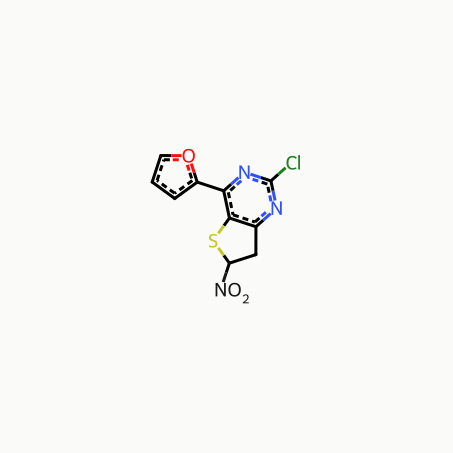 O=[N+]([O-])C1Cc2nc(Cl)nc(-c3ccco3)c2S1